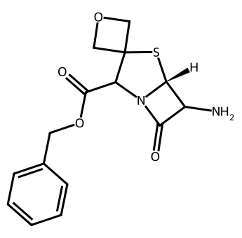 NC1C(=O)N2C(C(=O)OCc3ccccc3)C3(COC3)S[C@H]12